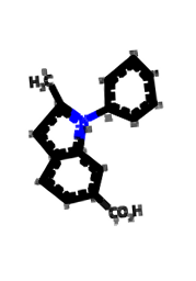 Cc1cc2ccc(C(=O)O)cc2n1-c1ccccc1